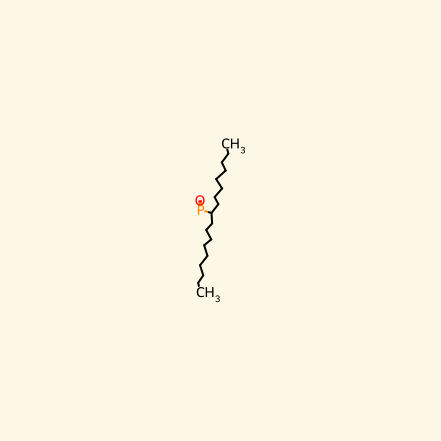 CCCCCCCCCC(CCCCCCCC)P=O